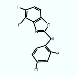 Fc1cc(Cl)ccc1Nc1nc2c(F)c(F)ccc2o1